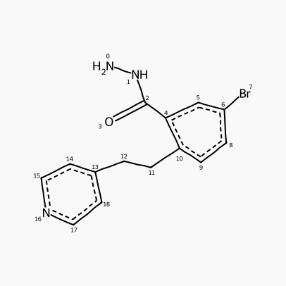 NNC(=O)c1cc(Br)ccc1CCc1ccncc1